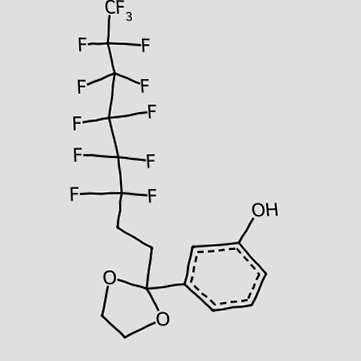 Oc1cccc(C2(CCC(F)(F)C(F)(F)C(F)(F)C(F)(F)C(F)(F)C(F)(F)F)OCCO2)c1